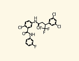 O=C(CC(c1cc(Cl)cc(Cl)c1)C(F)(F)F)Nc1ccc(Cl)c(C(=O)Nc2cccc(F)c2)c1